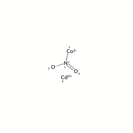 O=[N+]([O-])[Co-2].[Cd+2]